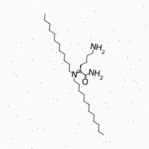 CCCCCCCCCCCCN(CCCCCCCCCCCC)[C@@H](CCCCN)C(N)=O